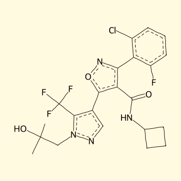 CC(C)(O)Cn1ncc(-c2onc(-c3c(F)cccc3Cl)c2C(=O)NC2CCC2)c1C(F)(F)F